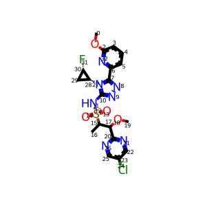 COc1cccc(-c2nnc(NS(=O)(=O)C(C)C(OC)c3ncc(Cl)cn3)n2[C@@H]2C[C@@H]2F)n1